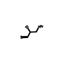 CCCCC([O])C=S